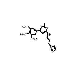 COc1cc(-c2cc(NCCCn3ccnc3)nc(C)n2)cc(OC)c1OC